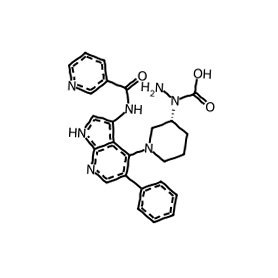 NN(C(=O)O)[C@@H]1CCCN(c2c(-c3ccccc3)cnc3[nH]cc(NC(=O)c4cccnc4)c23)C1